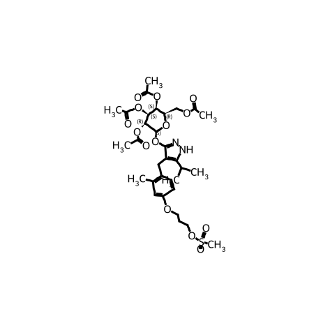 CC(=O)OC[C@H]1O[C@@H](Oc2n[nH]c(C(C)C)c2Cc2ccc(OCCCOS(C)(=O)=O)cc2C)[C@H](OC(C)=O)[C@@H](OC(C)=O)[C@H]1OC(C)=O